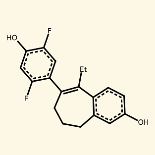 CCC1=C(c2cc(F)c(O)cc2F)CCCc2cc(O)ccc21